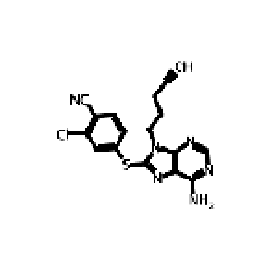 C#CCCCN1C(Sc2ccc(C#N)c(Cl)c2)=NC2C(N)=NC=NC21